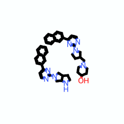 OC1CCN(CC2CCN(c3nccc(-c4ccc5ccccc5c4)n3)C2)CC1.c1ccc2cc(-c3ccnc(N4CC5CCNC5C4)n3)ccc2c1